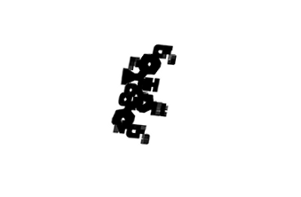 CC[C@@H]1C[C@H](C(=O)NC(c2ccc(C(F)(F)F)cc2F)C2CC2)N(C(=O)c2ccnc(C(F)(F)F)c2)C1